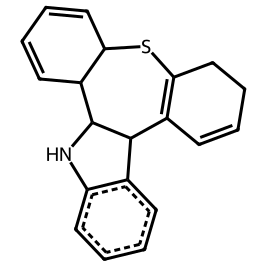 C1=CC2SC3=C(C=CCC3)C3c4ccccc4NC3C2C=C1